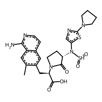 Cc1cc2c(N)nccc2cc1C[C@H](C(=O)O)N1CC[C@H](N(c2cnc(N3CCCC3)s2)[SH](=O)=O)C1=O